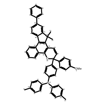 COc1ccc(C2(c3ccc(N(c4ccc(C)cc4)c4ccc(C)cc4)cc3)C=Cc3c4c(c5ccccc5c3O2)-c2ccc(-c3ccccc3)cc2C4(C)C)cc1